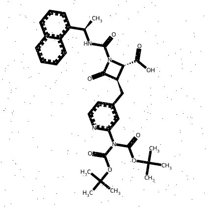 C[C@@H](NC(=O)N1C(=O)[C@H](Cc2ccnc(N(C(=O)OC(C)(C)C)C(=O)OC(C)(C)C)c2)[C@H]1C(=O)O)c1cccc2ccccc12